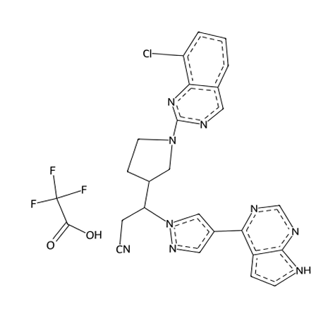 N#CCC(C1CCN(c2ncc3cccc(Cl)c3n2)C1)n1cc(-c2ncnc3[nH]ccc23)cn1.O=C(O)C(F)(F)F